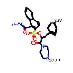 CCOC(=O)N1CCN(C(=O)C(Cc2ccc(C#N)cc2)OS(=O)(=O)c2ccc3ccccc3c2C(N)=O)CC1